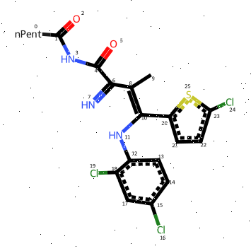 CCCCCC(=O)NC(=O)C(=N)/C(C)=C(\Nc1ccc(Cl)cc1Cl)c1ccc(Cl)s1